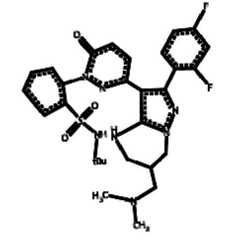 CN(C)CC1CNc2c(-c3ccc(=O)n(-c4ccccc4S(=O)(=O)NC(C)(C)C)n3)c(-c3ccc(F)cc3F)nn2C1